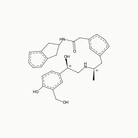 C[C@H](Cc1cccc(CC(=O)NC2Cc3ccccc3C2)c1)NC[C@H](O)c1ccc(O)c(CO)c1